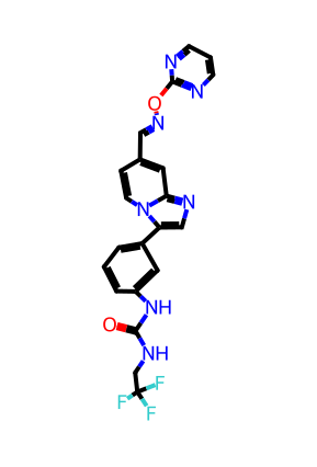 O=C(NCC(F)(F)F)Nc1cccc(-c2cnc3cc(C=NOc4ncccn4)ccn23)c1